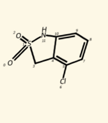 O=S1(=O)Cc2c(Cl)cccc2N1